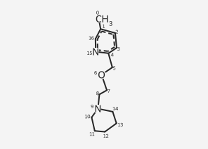 Cc1ccc(COCCN2CCCCC2)nc1